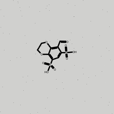 O=Cc1c(S(=O)(=O)O)cc(S(=O)(=O)O)c2c1OCCO2